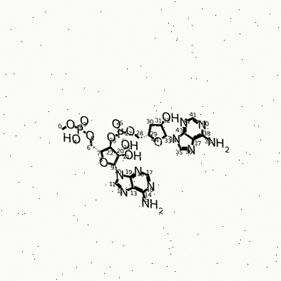 COP(=O)(O)OC[C@H]1O[C@@H](n2cnc3c(N)ncnc32)[C@H](O)[C@@H]1OP(=O)(O)OC[C@@H]1C[C@@H](O)[C@H](n2cnc3c(N)ncnc32)O1